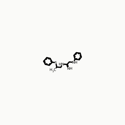 CC(CNC(=N)CNc1ccccc1)Sc1ccccc1